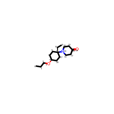 CCCO[C@H]1CC[C@](CC)(N2CCC(=O)CC2)CC1